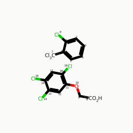 Clc1ccccc1C(Cl)(Cl)Cl.O=C(O)COc1cc(Cl)c(Cl)cc1Cl